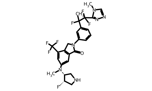 CN(c1cc2c(c(C(F)(F)F)c1)CN(c1cccc(C(C)(F)C(F)(F)c3nncn3C)c1)C2=O)[C@@H]1CNC[C@@H]1F